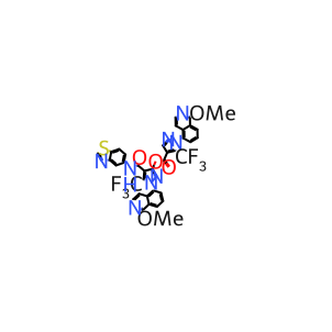 COc1nccc2c(-n3ncc(C(=O)Oc4nn(-c5cccc6c(OC)nccc56)c(C(F)(F)F)c4C(=O)Nc4ccc5scnc5c4)c3C(F)(F)F)cccc12